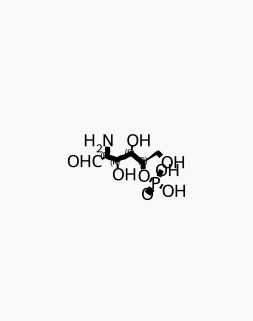 N[C@@H](C=O)[C@@H](O)[C@H](O)[C@@H](CO)OP(=O)(O)O